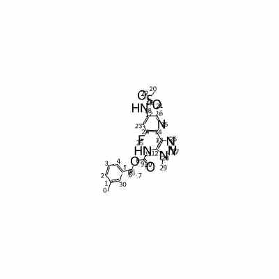 Cc1cccc([C@@H](C)OC(=O)Nc2c(-c3ncc(NS(C)(=O)=O)cc3F)nnn2C)c1